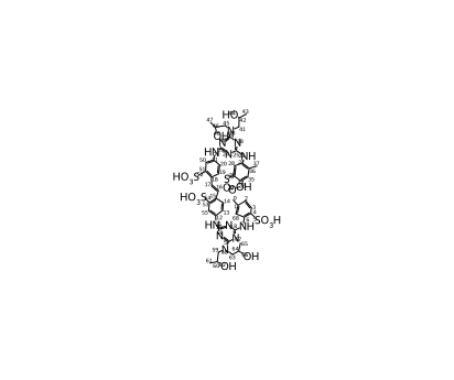 Cc1ccc(S(=O)(=O)O)c(Nc2nc(Nc3ccc(/C=C/c4ccc(Nc5nc(Nc6cc(SOOO)ccc6C)nc(N(CC(C)O)CC(C)O)n5)cc4S(=O)(=O)O)c(S(=O)(=O)O)c3)nc(N(CC(C)O)CC(C)O)n2)c1